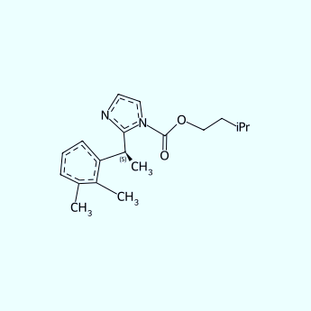 Cc1cccc([C@H](C)c2nccn2C(=O)OCCC(C)C)c1C